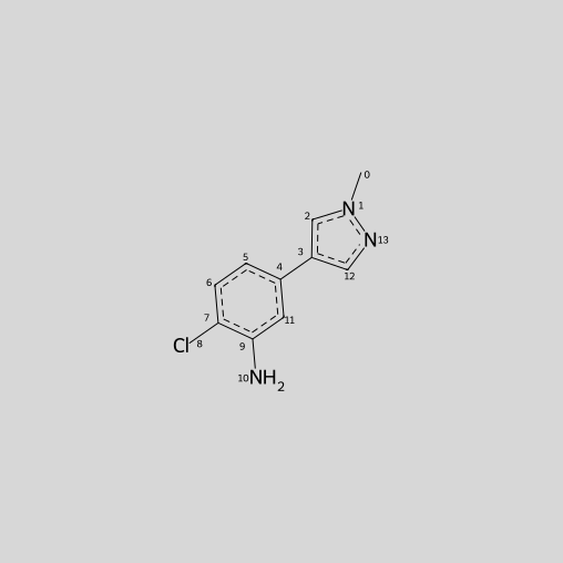 Cn1cc(-c2ccc(Cl)c(N)c2)cn1